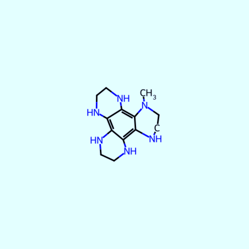 CN1CCNc2c3c(c4c(c21)NCCN4)NCCN3